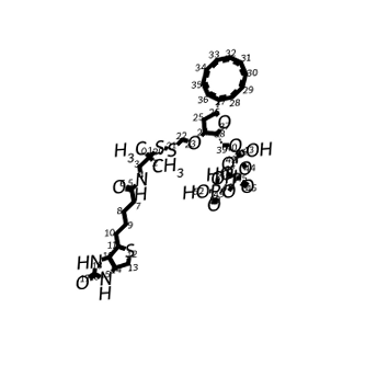 CC(C)(CNC(=O)CCCCC1SCC2NC(=O)NC21)SSCOC1C[C@H](c2ccccccccc2)O[C@@H]1COP(=O)(O)OP(=O)(O)OP(=O)(O)O